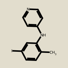 Cc1ccc(I)cc1Nc1ccncc1